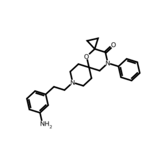 Nc1cccc(CCN2CCC3(CC2)CN(c2ccccc2)C(=O)C2(CC2)O3)c1